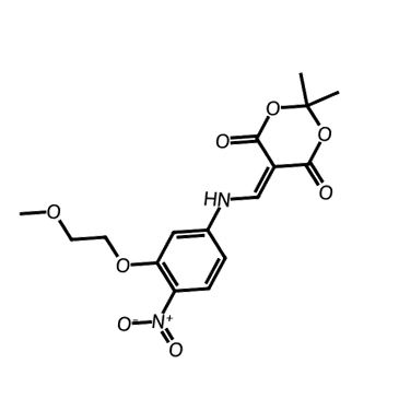 COCCOc1cc(NC=C2C(=O)OC(C)(C)OC2=O)ccc1[N+](=O)[O-]